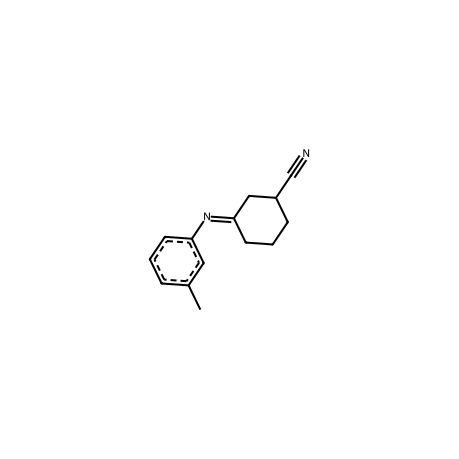 Cc1cccc(N=C2CCCC(C#N)C2)c1